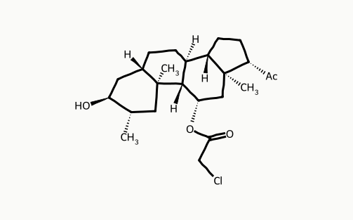 CC(=O)[C@H]1CC[C@H]2[C@@H]3CC[C@H]4C[C@H](O)[C@@H](C)C[C@]4(C)[C@H]3[C@@H](OC(=O)CCl)C[C@]12C